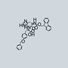 O=C(N[C@@H](Cc1c[nH]cn1)C(=O)N[C@@H](Cc1ccc(OCc2ccccc2)cc1)C(=O)O)OCC1c2ccccc2-c2ccccc21